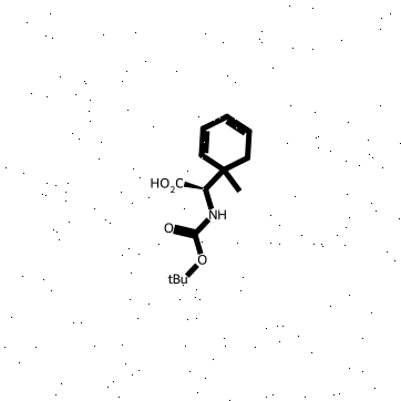 CC(C)(C)OC(=O)N[C@@H](C(=O)O)C1(C)C=CC=CC1